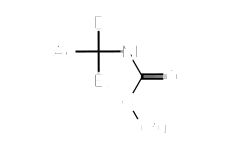 CCC(CC)(NC(=O)OC(C)(C)C)C(C)=O